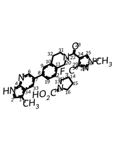 Cc1c[nH]c2ncc(-c3cc4c(c([C@@H]5CCCN5C(=O)O)c3)CN(C(=O)c3cn(C)nc3C(F)(F)F)CC4)cc12